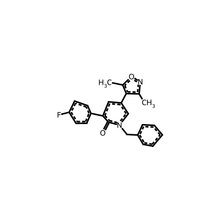 Cc1noc(C)c1-c1cc(-c2ccc(F)cc2)c(=O)n(Cc2ccccc2)c1